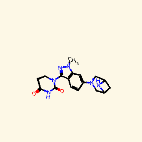 Cn1nc(N2CCC(=O)NC2=O)c2ccc(N3CC4CC(C3)N4)cc21